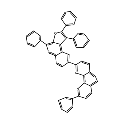 c1ccc(-c2ccc3ccc4ccc(-c5ccc6nc(-c7ccccc7)c7oc(-c8ccccc8)c(-c8ccccc8)c7c6c5)nc4c3n2)cc1